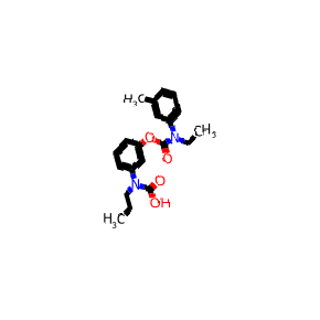 CCCN(C(=O)O)c1cccc(OC(=O)N(CC)c2cccc(C)c2)c1